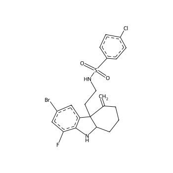 C=C1CCCC2Nc3c(F)cc(Br)cc3C12CCNS(=O)(=O)c1ccc(Cl)cc1